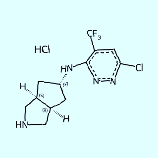 Cl.FC(F)(F)c1cc(Cl)nnc1N[C@@H]1C[C@H]2CNC[C@H]2C1